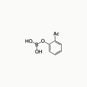 CC(=O)c1ccccc1OB(O)O